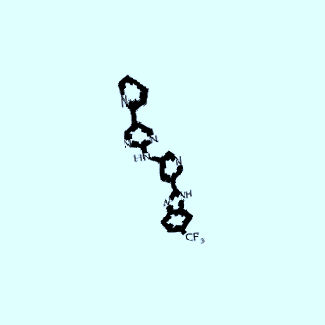 FC(F)(F)c1ccc2nc(-c3cncc(Nc4ncc(-c5ccccn5)cn4)c3)[nH]c2c1